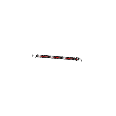 C=C(C)C(=O)OCCOCCOCCOCCOCCOCCOCCOCCOCCOCCOCCOCCOCCOCCOCCOCCOCCOCCOCCOCCOCCOCCOCCOCCOCCOCCOCCOCCOCCOCCOCCOCCOCCOCCOCCOCCOCCOCCOCCOCCOCCOCCOCCOCCOCCOC